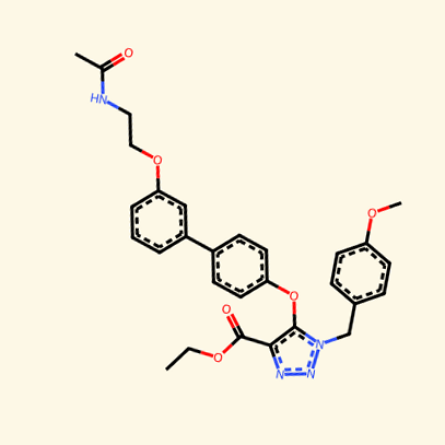 CCOC(=O)c1nnn(Cc2ccc(OC)cc2)c1Oc1ccc(-c2cccc(OCCNC(C)=O)c2)cc1